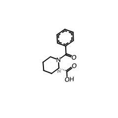 O=C(O)[C@@H]1CCCCN1C(=O)c1ccccc1